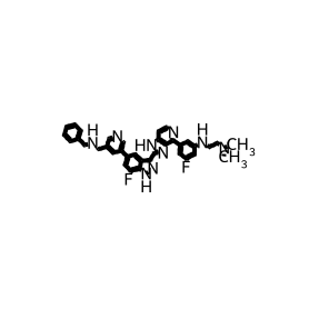 CN(C)CCNc1cc(F)cc(-c2nccc3[nH]c(-c4n[nH]c5c(F)cc(-c6cncc(CNCc7ccccc7)c6)cc45)nc23)c1